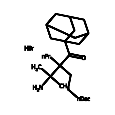 Br.CCCCCCCCCCCCC(CCC)(C(=O)C12CC3CC(CC(C3)C1)C2)C(C)(C)N